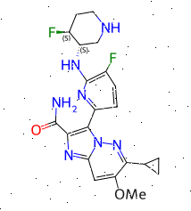 COc1cc2nc(C(N)=O)c(-c3ccc(F)c(N[C@H]4CNCC[C@@H]4F)n3)n2nc1C1CC1